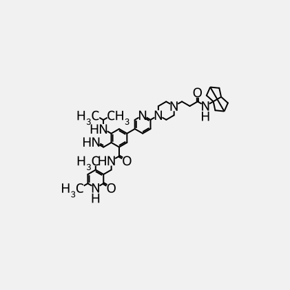 Cc1cc(C)c(CNC(=O)c2cc(-c3ccc(N4CCN(CCC(=O)NC56CC7CC5CC7C6)CC4)nc3)cc(NC(C)C)c2C=N)c(=O)[nH]1